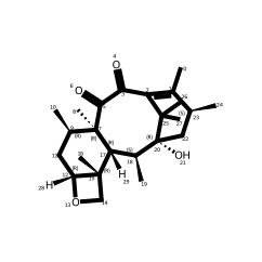 CC1=C2C(=O)C(=O)[C@]3(C)[C@H](C)C[C@H]4OC[C@@]4(C)[C@H]3[C@H](C)[C@](O)(C[C@@H]1C)C2(C)C